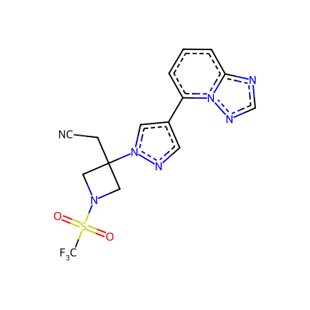 N#CCC1(n2cc(-c3cccc4ncnn34)cn2)CN(S(=O)(=O)C(F)(F)F)C1